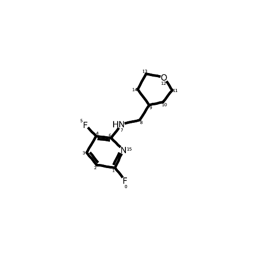 Fc1ccc(F)c(NCC2CCOCC2)n1